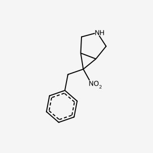 O=[N+]([O-])C1(Cc2ccccc2)C2CNCC21